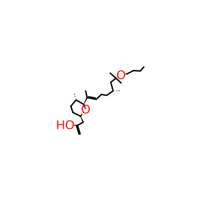 C=C(O)C[C@H]1CC[C@H](C)[C@@H](/C(C)=C/CC[C@@H](C)CC(C)(C)OCCCC)O1